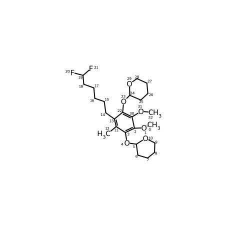 COc1c(OC2CCCCO2)c(C)c(CCCCCC(F)F)c(OC2CCCCO2)c1OC